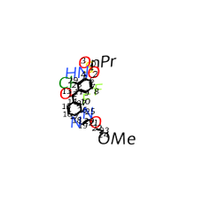 CCCS(=O)(=O)Nc1cc(F)c(F)c(C(=O)c2ccc3ncc(OCCOC)nc3c2)c1Cl